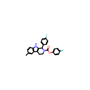 Cc1ccc2[nH]c3c(c2c1)CCN(C(=O)Oc1ccc(F)cc1)C3c1ccc(F)cc1